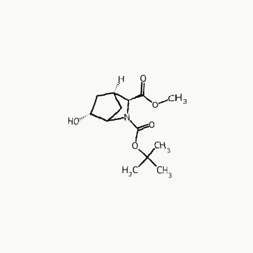 COC(=O)[C@@H]1[C@H]2CC([C@H](O)C2)N1C(=O)OC(C)(C)C